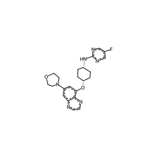 Fc1cnc(N[C@H]2CC[C@@H](Oc3cc(N4CCOCC4)cc4nccnc34)CC2)nc1